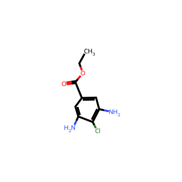 CCOC(=O)c1cc(N)c(Cl)c(N)c1